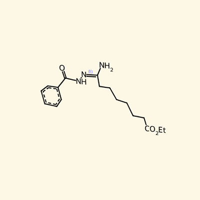 CCOC(=O)CCCCCC/C(N)=N\NC(=O)c1ccccc1